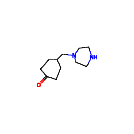 O=C1CCC(CN2CCNCC2)CC1